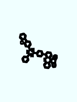 c1ccc(-c2nc(-c3ccc(-c4cccc5c4Sc4ccccc4C54c5ccccc5-c5ccccc54)cc3)nc(-c3ccc4c(c3)oc3ccccc34)n2)cc1